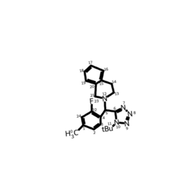 Cc1ccc(C(c2nnnn2C(C)(C)C)N2CCc3ccccc3C2)c(F)c1